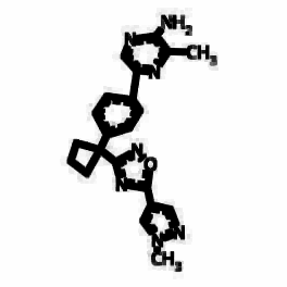 Cc1nc(-c2ccc(C3(c4noc(-c5cnn(C)c5)n4)CCC3)cc2)cnc1N